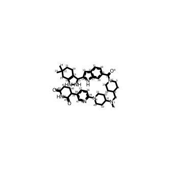 CN(CC1CCN(C(=O)c2ccc3cc(C4NNC5=C4CCC(C)(C)C5)[nH]c3c2)CC1)C1CCN(c2ccc(C3CCC(=O)NC3=O)cn2)CC1